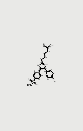 NS(=O)(=O)c1ccc(-c2oc(CCCCC(=O)O)nc2-c2ccc(F)cc2)cc1